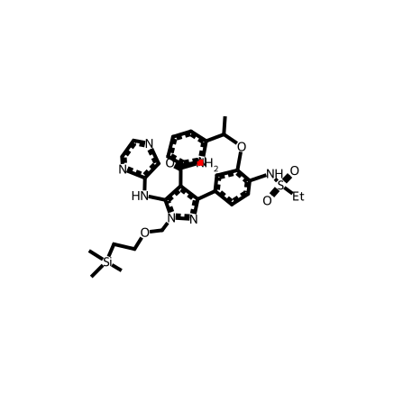 CCS(=O)(=O)Nc1ccc(-c2nn(COCC[Si](C)(C)C)c(Nc3cnccn3)c2C(N)=O)cc1OC(C)c1ccccn1